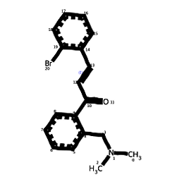 CN(C)Cc1ccccc1C(=O)/C=C/c1ccccc1Br